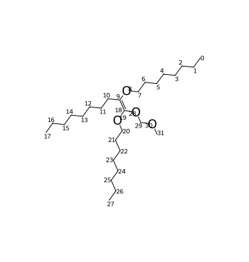 CCCCCCCCOC(CCCCCCCC)=C(OCCCCCCCC)OCOC